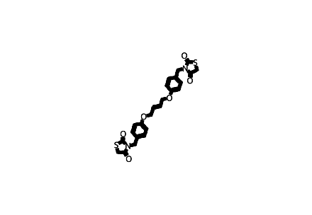 O=C1CSC(=O)N1Cc1ccc(OCC=CCOc2ccc(CN3C(=O)CSC3=O)cc2)cc1